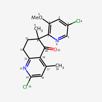 COc1cc(Cl)cnc1C1(C)CCc2nc(Cl)cc(C)c2C1=O